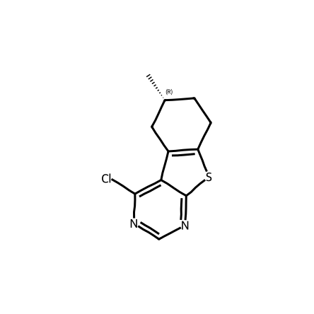 C[C@@H]1CCc2sc3ncnc(Cl)c3c2C1